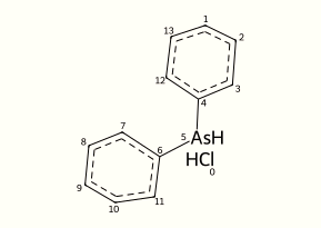 Cl.c1ccc([AsH]c2ccccc2)cc1